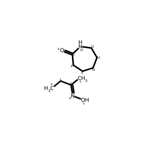 CCC(C)=NO.O=C1CCCCCN1